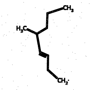 [CH2]CC=CC(C)CCC